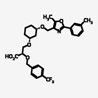 Cc1cccc(-c2nc(CO[C@H]3CCC[C@@H](OC[C@@H](OCc4ccc(C(F)(F)F)cc4)C(=O)O)C3)c(C)o2)c1